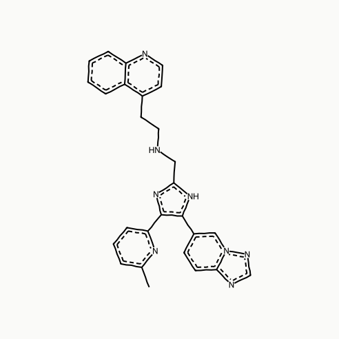 Cc1cccc(-c2nc(CNCCc3ccnc4ccccc34)[nH]c2-c2ccc3ncnn3c2)n1